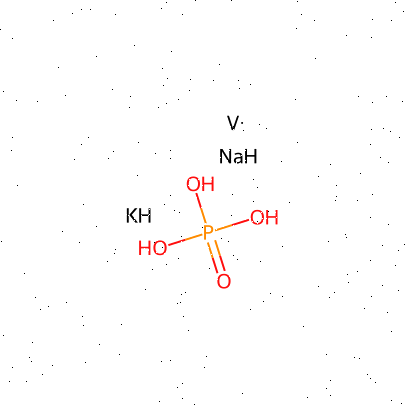 O=P(O)(O)O.[KH].[NaH].[V]